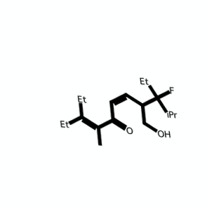 CCC(CC)=C(C)C(=O)/C=C\C(CO)C(F)(CC)C(C)C